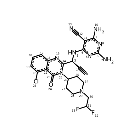 C#C[C@H](Nc1nc(N)nc(N)c1C#N)c1nc2cccc(Cl)c2c(=O)n1C1CCN(CC(F)F)CC1